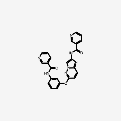 O=C(Nc1cccc(Oc2ccc3nc(NC(=O)c4cccnc4)cn3n2)c1)c1cccnc1